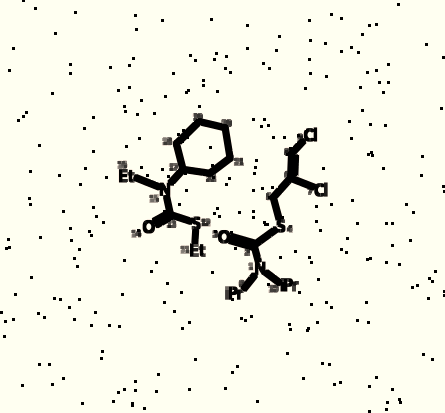 CC(C)N(C(=O)SC/C(Cl)=C/Cl)C(C)C.CCSC(=O)N(CC)C1CCCCC1